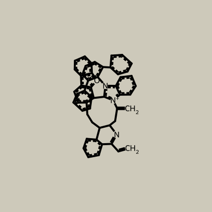 C=CC1=NC2CC(=C)[n+]3c(n(-c4c(-c5ccccc5)cccc4-c4ccccc4)c4ccccc43)-c3c(ccc4c3oc3ccccc34)CCC2c2ccccc21